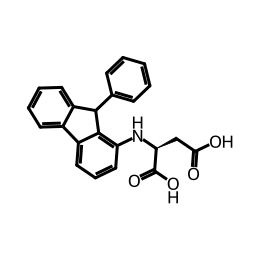 O=C(O)C[C@H](Nc1cccc2c1C(c1ccccc1)c1ccccc1-2)C(=O)O